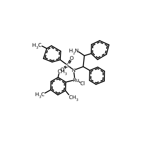 Cc1ccc(S(=O)(=O)[N](C(c2ccccc2)C(N)c2ccccc2)[Ru]([Cl])[c]2c(C)cc(C)cc2C)cc1